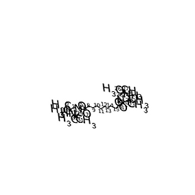 CC1(C)CN(OC(=O)CCCCCCCCC(=O)ON2CC(C)(C)NC(C)(C)C2)CC(C)(C)N1